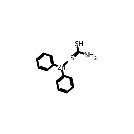 NC(=S)S.[CH3][Zn]([c]1ccccc1)[c]1ccccc1